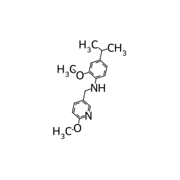 COc1ccc(CNc2ccc(C(C)C)cc2OC)cn1